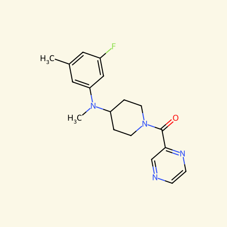 Cc1cc(F)cc(N(C)C2CCN(C(=O)c3cnccn3)CC2)c1